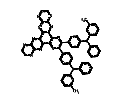 Cc1cccc(N(c2ccccc2)c2ccc(-c3nc4c(nc3-c3ccc(N(c5ccccc5)c5cccc(C)c5)cc3)c3nc5nccnc5nc3c3nc5nccnc5nc43)cc2)c1